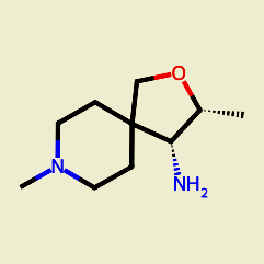 C[C@H]1OCC2(CCN(C)CC2)[C@H]1N